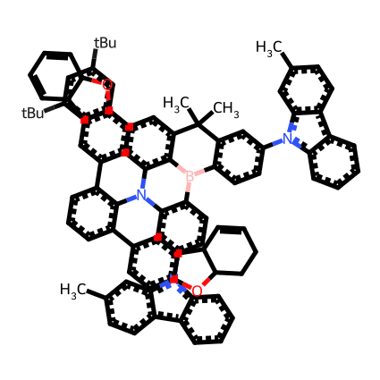 Cc1ccc2c3ccccc3n(-c3ccc4c(c3)N(c3c(-c5ccc6c(c5)C5C=CC=CC5O6)cccc3-c3ccc5c(c3)C3C=CCCC3O5)c3cc(-c5cc(C(C)(C)C)cc(C(C)(C)C)c5)cc5c3B4c3ccc(-n4c6ccccc6c6ccc(C)cc64)cc3C5(C)C)c2c1